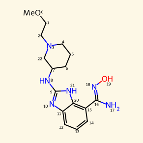 COCCN1CCCC(Nc2nc3cccc(C(N)=NO)c3[nH]2)C1